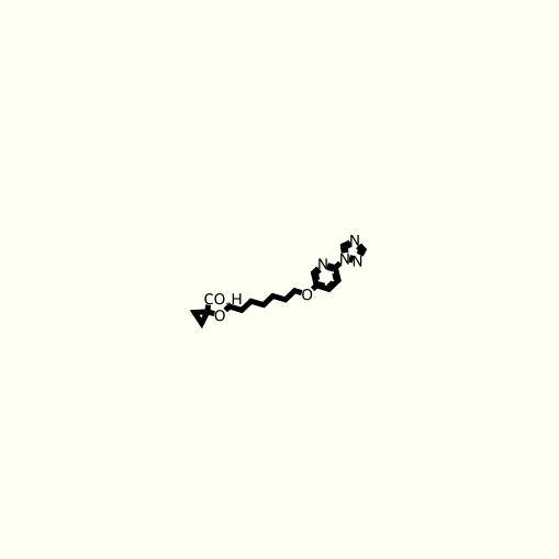 O=C(O)C1(OCCCCCCCOc2ccc(-n3cncn3)nc2)CC1